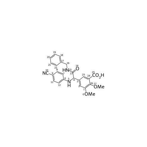 COc1cc(C(Nc2ccc(C#N)cc2)C(=O)NCc2ccccc2)cc(C(=O)O)c1OC